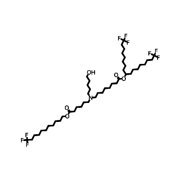 O=C(CCCCCN(CCCCCO)CCCCCCCC(=O)OC(CCCCCCCC(F)(F)F)CCCCCCCC(F)(F)F)OCCCCCCCCCCC(F)(F)F